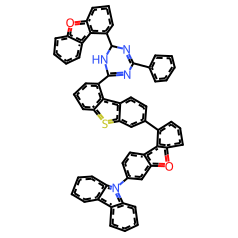 c1ccc(C2=NC(c3cccc4oc5ccccc5c34)NC(c3cccc4sc5cc(-c6cccc7oc8cc(-n9c%10ccccc%10c%10ccccc%109)ccc8c67)ccc5c34)=N2)cc1